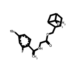 C=C(NCC(=O)OCC1CCC2CC1C2(C)C)c1ccc(C(C)(C)C)cc1F